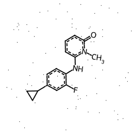 Cn1c(Nc2ccc(C3CC3)cc2F)cccc1=O